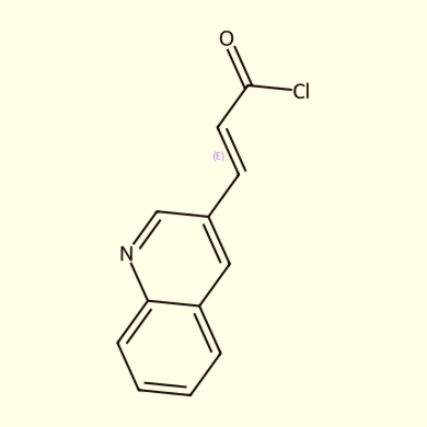 O=C(Cl)/C=C/c1cnc2ccccc2c1